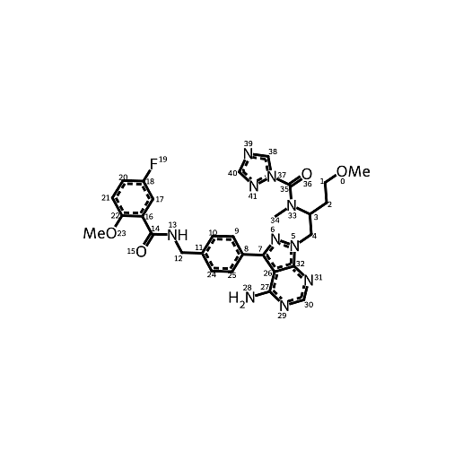 COCCC(Cn1nc(-c2ccc(CNC(=O)c3cc(F)ccc3OC)cc2)c2c(N)ncnc21)N(C)C(=O)n1cncn1